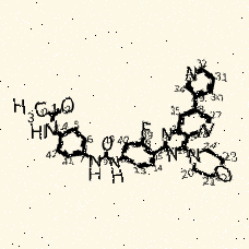 CC(=O)Nc1ccc(NC(=O)Nc2ccc(-c3nc(N4CCOCC4)c4ncc(-c5cccnc5)cc4n3)c(F)c2)cc1